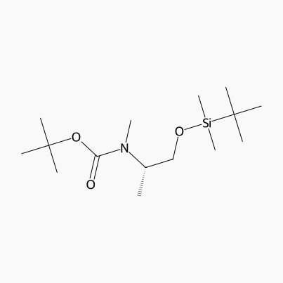 C[C@@H](CO[Si](C)(C)C(C)(C)C)N(C)C(=O)OC(C)(C)C